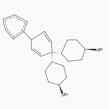 CCC[C@H]1CC[C@H](C2([C@H]3CC[C@H](CCC)CC3)C=CC(c3ccccc3)C=C2)CC1